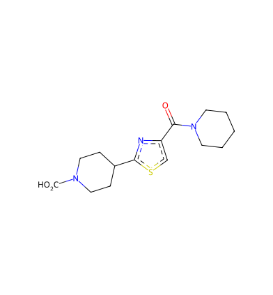 O=C(O)N1CCC(c2nc(C(=O)N3CCCCC3)cs2)CC1